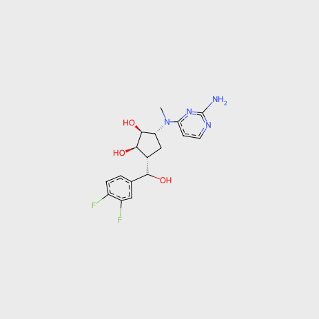 CN(c1ccnc(N)n1)[C@@H]1C[C@H](C(O)c2ccc(F)c(F)c2)[C@@H](O)[C@H]1O